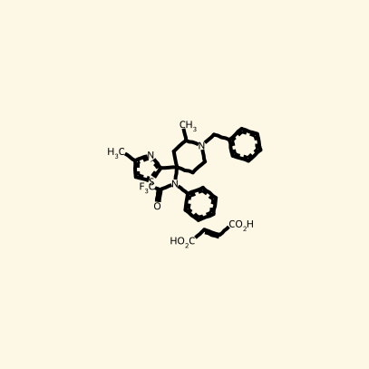 Cc1csc(C2(N(C(=O)C(F)(F)F)c3ccccc3)CCN(Cc3ccccc3)C(C)C2)n1.O=C(O)C=CC(=O)O